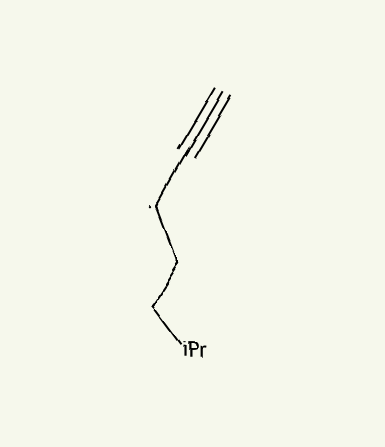 C#C[CH]CCC(C)C